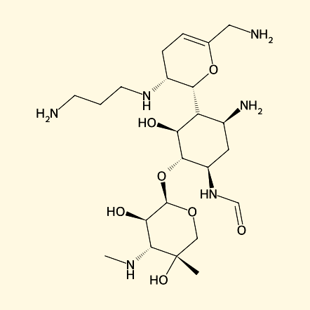 CN[C@@H]1[C@@H](O)[C@@H](O[C@H]2[C@H](NC=O)C[C@H](N)C([C@H]3OC(CN)=CC[C@H]3NCCCN)[C@@H]2O)OC[C@]1(C)O